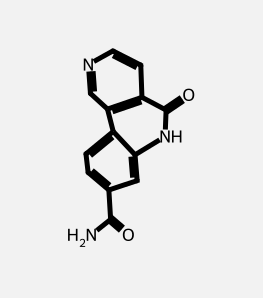 NC(=O)c1ccc2c(c1)[nH]c(=O)c1ccncc12